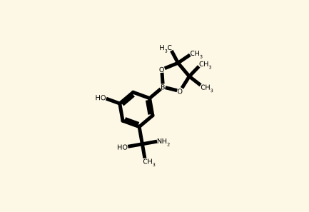 CC(N)(O)c1cc(O)cc(B2OC(C)(C)C(C)(C)O2)c1